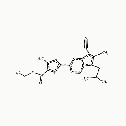 CCOC(=O)c1sc(-c2ccc3c(c2)c(C#N)c(C)n3CC(C)C)nc1C